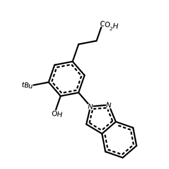 CC(C)(C)c1cc(CCC(=O)O)cc(-n2cc3ccccc3n2)c1O